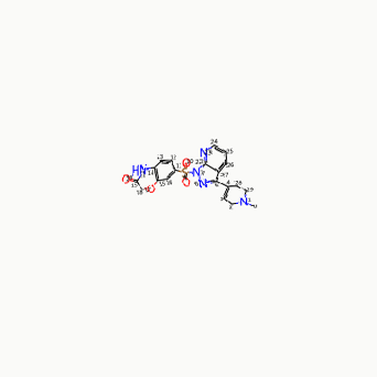 CN1CC=C(c2nn(S(=O)(=O)c3ccc4c(c3)OCC(=O)N4)c3ncccc23)CC1